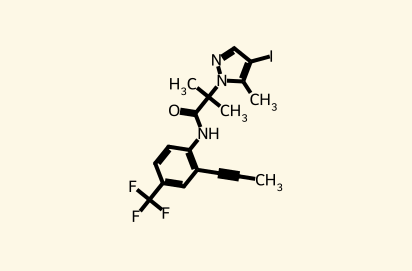 CC#Cc1cc(C(F)(F)F)ccc1NC(=O)C(C)(C)n1ncc(I)c1C